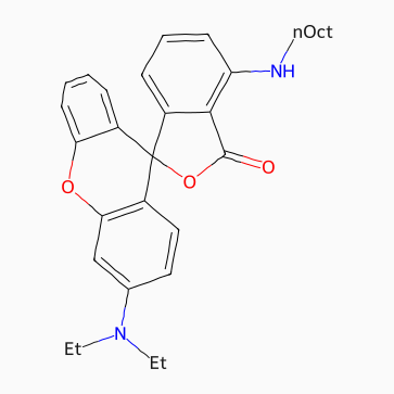 CCCCCCCCNc1cccc2c1C(=O)OC21c2ccccc2Oc2cc(N(CC)CC)ccc21